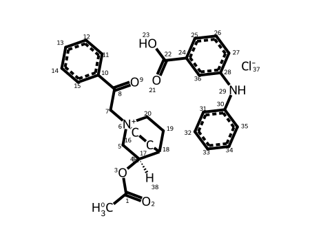 CC(=O)O[C@H]1C[N+]2(CC(=O)c3ccccc3)CCC1CC2.O=C(O)c1cccc(Nc2ccccc2)c1.[Cl-]